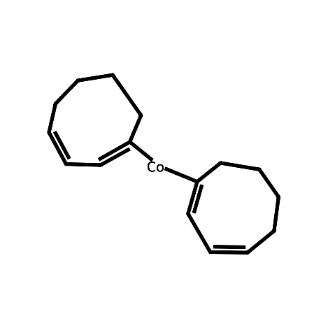 C1=C\CCCC\[C]([Co]/[C]2=C/C=C\CCCC2)=C/1